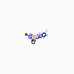 N[C@@H](CC(=O)N1C2CCC(C2)[C@H]1c1nc(C2CC2)no1)Cc1cc(F)c(F)cc1F